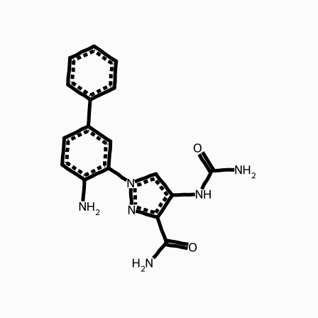 NC(=O)Nc1cn(-c2cc(-c3ccccc3)ccc2N)nc1C(N)=O